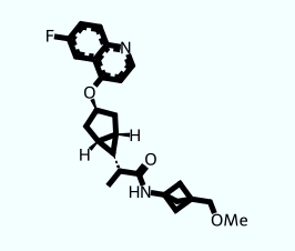 COCC12CC(NC(=O)C(C)[C@@H]3[C@@H]4C[C@@H](Oc5ccnc6ccc(F)cc56)C[C@@H]43)(C1)C2